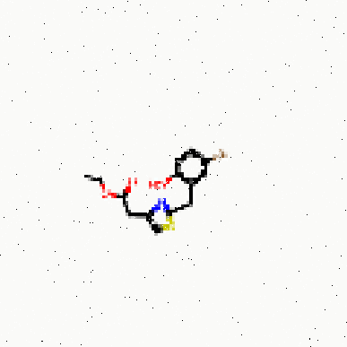 CCOC(=O)Cc1csc(Cc2cc(Br)ccc2O)n1